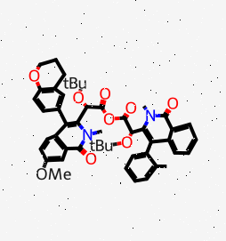 COc1ccc2c(-c3ccc4c(c3)CCCO4)c(C(OC(C)(C)C)C(=O)OC(=O)C(OC(C)(C)C)c3c(-c4ccccc4C)c4ccccc4c(=O)n3C)n(C)c(=O)c2c1